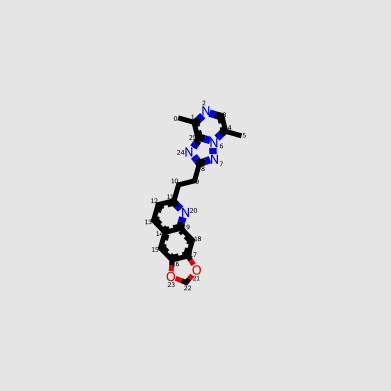 Cc1ncc(C)n2nc(CCc3ccc4cc5c(cc4n3)OCO5)nc12